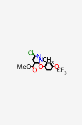 COC(=O)c1cc(Cl)nnc1Oc1ccc(OC(F)(F)F)cc1C